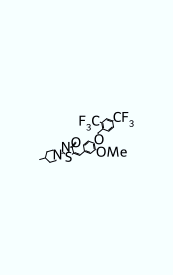 COc1cc(C=C2SC(N3CCC(C)CC3)=NC2=O)ccc1OCc1ccc(C(F)(F)F)cc1C(F)(F)F